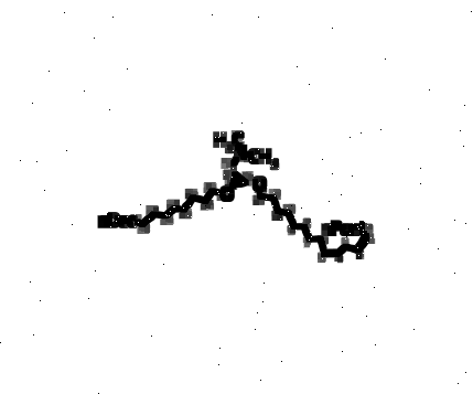 CCCCC/C=C\C/C=C\CCCCCCCCO[C@H]1[C@@H](CN(C)C)[C@H]1OCCCCCCCCCCCCCCCCCC